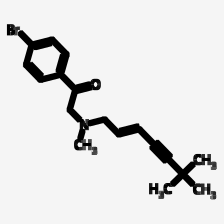 CN(CC=CC#CC(C)(C)C)CC(=O)c1ccc(Br)cc1